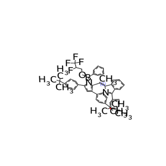 C/C(=C1/N=C(c2ccc(C)cc2)c2ccccc21)c1c(-c2ccc(C(C)(C)C)cc2)cc(-c2ccc(C(C)(C)C)cc2)n1B(OCC(F)C(F)(F)F)c1ccccc1